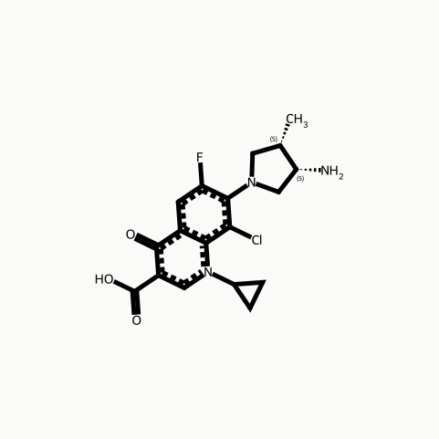 C[C@H]1CN(c2c(F)cc3c(=O)c(C(=O)O)cn(C4CC4)c3c2Cl)C[C@H]1N